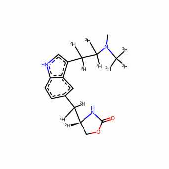 [2H]C([2H])([2H])N(C)C([2H])([2H])C([2H])([2H])c1c[nH]c2ccc(C([2H])([2H])[C@@]3([2H])COC(=O)N3)cc12